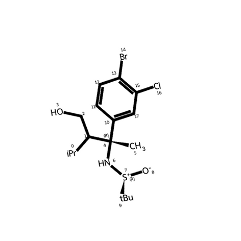 CC(C)C(CO)[C@@](C)(N[S@@+]([O-])C(C)(C)C)c1ccc(Br)c(Cl)c1